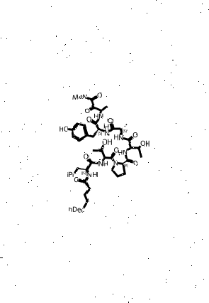 CCCCCCCCCCCCCC(=O)N[C@@H](CC(C)C)C(=O)NC(C(=O)N1CCC[C@@H]1C(=O)NC(C(=O)N[C@@H](C)C(=O)N[C@@H](Cc1ccc(O)cc1)C(=O)NC(C)C(=O)C(=O)NC)C(C)O)C(C)O